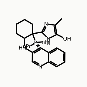 CCCP(=O)(CCC)C1(c2nc(C)c(O)[nH]2)CCCCC1Nc1cnc2ccccc2c1